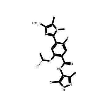 CCOC(=O)c1nc(-c2cc(O[C@@H](C)C(F)(F)F)c(C(=O)Nc3c(C)n[nH]c3Cl)cc2F)n(C)c1C